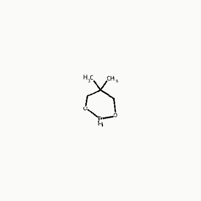 CC1(C)COPOC1